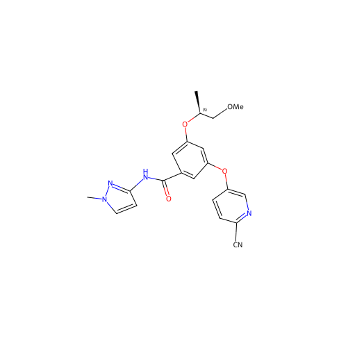 COC[C@H](C)Oc1cc(Oc2ccc(C#N)nc2)cc(C(=O)Nc2ccn(C)n2)c1